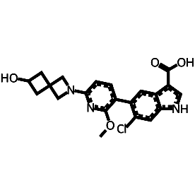 COc1nc(N2CC3(CC(O)C3)C2)ccc1-c1cc2c(C(=O)O)c[nH]c2cc1Cl